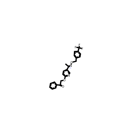 C/C(=N\OCc1ccc(C(F)(F)F)cc1)c1ccc(OCC(=O)c2ccccc2)nc1